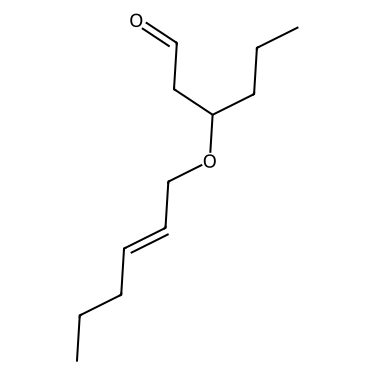 CCC/C=C/COC(CC=O)CCC